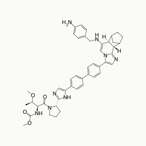 COC(=O)N[C@H](C(=O)N1CCC[C@H]1c1ncc(-c2ccc(-c3ccc(-c4cnc5n4C=C(NCc4ccc(N)cc4)[C@H]4C6CCC(C6)[C@H]54)cc3)cc2)[nH]1)[C@@H](C)OC